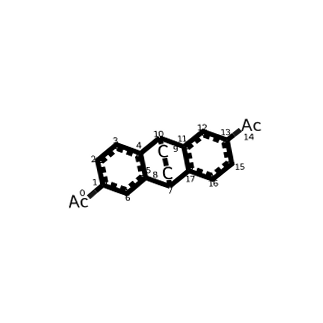 CC(=O)c1ccc2c(c1)C1CCC2c2cc(C(C)=O)ccc21